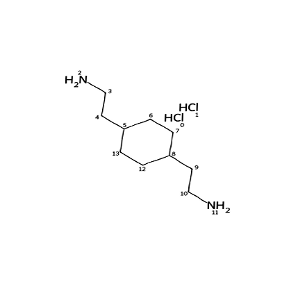 Cl.Cl.NCCC1CCC(CCN)CC1